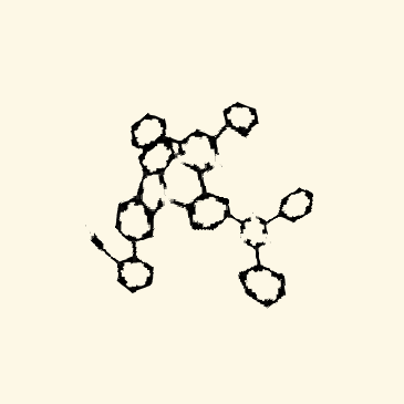 N#Cc1ccccc1-c1ccc2c3ccccc3n(-c3ccc(-c4nc(-c5ccccc5)nc(-c5ccccc5)n4)cc3-c3nc(-c4ccccc4)cc(-c4ccccc4)n3)c2c1